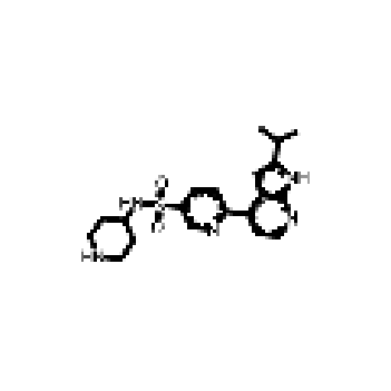 CC(C)c1cc2c(-c3ccc(S(=O)(=O)NC4CCNCC4)cn3)ccnc2[nH]1